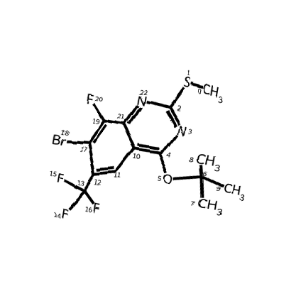 CSc1nc(OC(C)(C)C)c2cc(C(F)(F)F)c(Br)c(F)c2n1